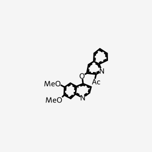 COc1cc2nccc(Oc3cc4ccccc4nc3C(C)=O)c2cc1OC